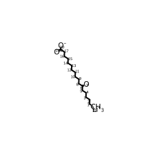 CCCCCCC(=O)CCCCCCCCCCC(=O)[O-].[Li+]